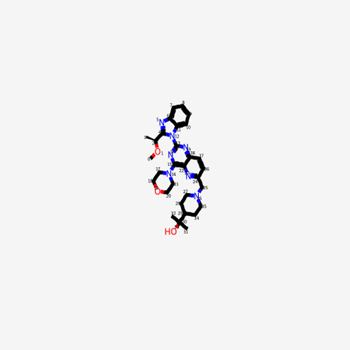 CO[C@@H](C)c1nc2ccccc2n1-c1nc(N2CCOCC2)c2nc(CN3CCC(C(C)(C)O)CC3)ccc2n1